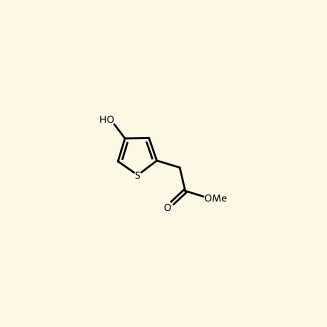 COC(=O)Cc1cc(O)cs1